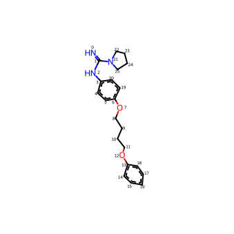 N=C(Nc1ccc(OCCCCOc2ccccc2)cc1)N1CCCC1